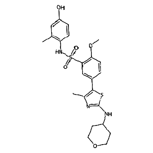 COc1ccc(-c2sc(NC3CCOCC3)nc2C)cc1S(=O)(=O)Nc1ccc(O)cc1C